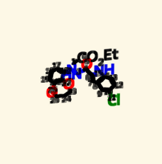 CCOC(=O)CN(NC(=O)c1cc2cc(Cl)ccc2[nH]1)c1cccc2c1OCCCO2